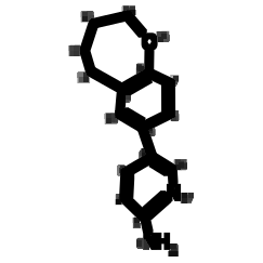 Nc1ccc(-c2ccc3c(c2)CCCCO3)cn1